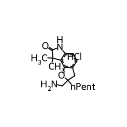 CCCCCC1(CN)Cc2ccc3c(c2O1)C(C)(C)C(=O)N3.Cl